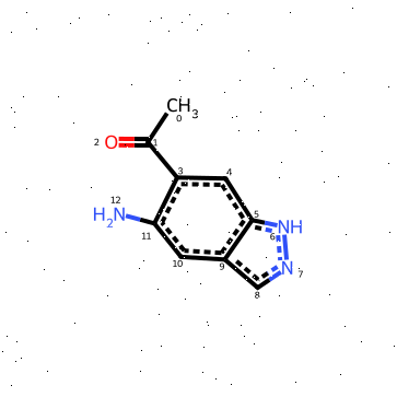 CC(=O)c1cc2[nH]ncc2cc1N